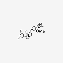 COc1cc(C=C2CC=C3CC[C@@H](c4cc(F)cc(F)c4)N3C2=O)ccc1-n1cnc(C)c1